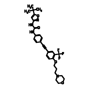 CC(C)(C)c1cc(NC(=O)Nc2ccc(C#Cc3ccc(OCCCN4CCOCC4)c(C(F)(F)F)c3)cc2)no1